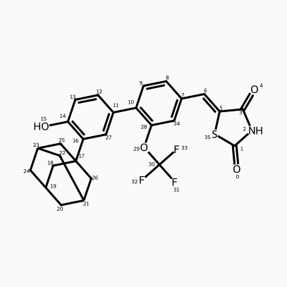 O=C1NC(=O)C(=Cc2ccc(-c3ccc(O)c(C45CC6CC(CC(C6)C4)C5)c3)c(OC(F)(F)F)c2)S1